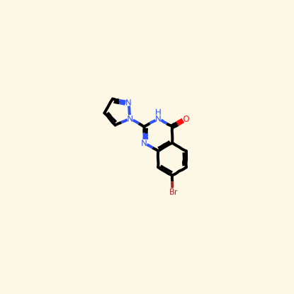 O=c1[nH]c(-n2cccn2)nc2cc(Br)ccc12